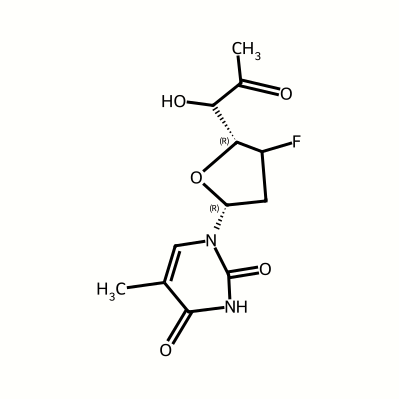 CC(=O)C(O)[C@H]1O[C@@H](n2cc(C)c(=O)[nH]c2=O)CC1F